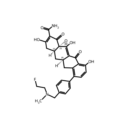 CN(CCF)Cc1ccc(-c2ccc(O)c3c2C[C@H]2C[C@H]4CC(O)=C(C(N)=O)C(=O)[C@@]4(O)C(O)=C2C3=O)cc1